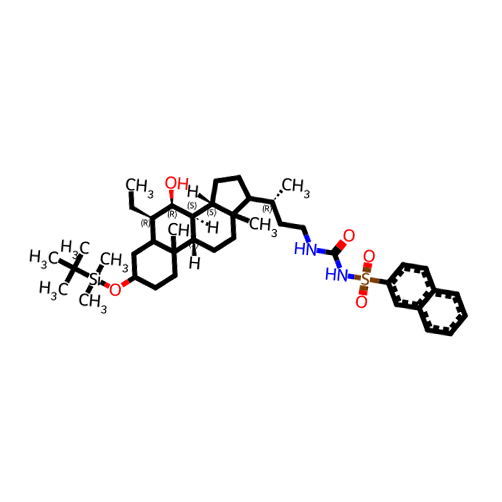 CC[C@@H]1C2CC(O[Si](C)(C)C(C)(C)C)CCC2(C)[C@H]2CCC3(C)C([C@H](C)CCNC(=O)NS(=O)(=O)c4ccc5ccccc5c4)CC[C@H]3[C@@H]2[C@@H]1O